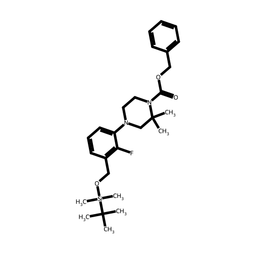 CC1(C)CN(c2cccc(CO[Si](C)(C)C(C)(C)C)c2F)CCN1C(=O)OCc1ccccc1